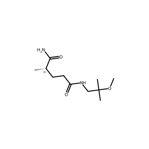 COC(C)(C)CNC(=O)[CH]C[C@H](C)C(N)=O